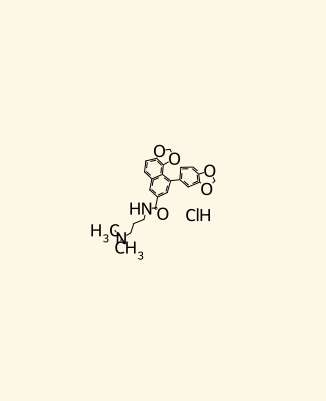 CN(C)CCCNC(=O)c1cc(-c2ccc3c(c2)OCO3)c2c3c(ccc2c1)OCO3.Cl